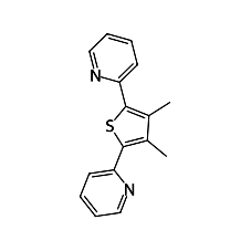 Cc1c(-c2ccccn2)sc(-c2ccccn2)c1C